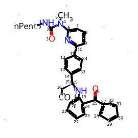 CCCCCNC(=O)N(C)c1cccc(-c2ccc([C@H](CC(=O)O)Nc3ccccc3C(=O)c3ccccc3)cc2)n1